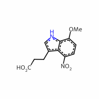 COc1ccc([N+](=O)[O-])c2c(CCC(=O)O)c[nH]c12